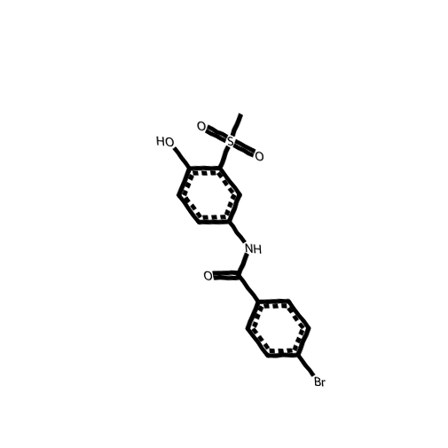 CS(=O)(=O)c1cc(NC(=O)c2ccc(Br)cc2)ccc1O